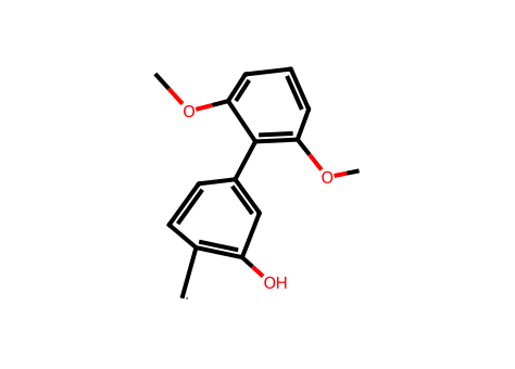 [CH2]c1ccc(-c2c(OC)cccc2OC)cc1O